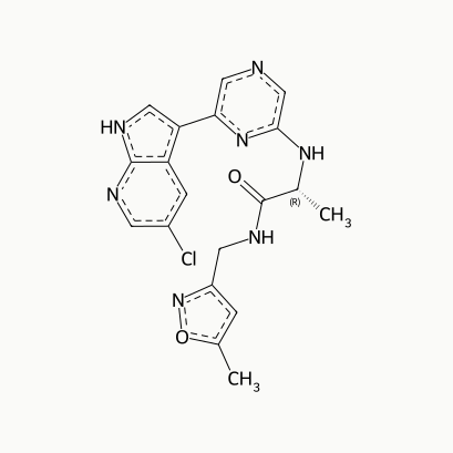 Cc1cc(CNC(=O)[C@@H](C)Nc2cncc(-c3c[nH]c4ncc(Cl)cc34)n2)no1